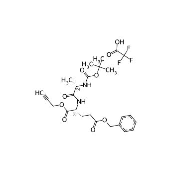 C#CCOC(=O)[C@@H](CCC(=O)OCc1ccccc1)NC(=O)[C@H](C)NC(=O)OC(C)(C)C.O=C(O)C(F)(F)F